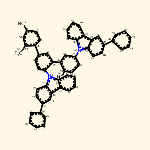 N#Cc1ccc(-c2ccc(-n3c4ccccc4c4cc(-c5ccccc5)ccc43)c(-c3cc(-n4c5ccccc5c5cc(-c6ccccc6)ccc54)ccc3C#N)c2)c(C(F)(F)F)c1